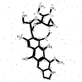 COC1c2c(c(O)c3cc(C)c4c(c3c2O)OC[C@@]2(CO2)C2(C(OC)OC)OC(CO)C4O2)CC2CCNC21